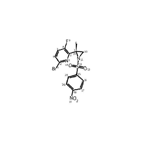 C[C@@]1(c2nc(Br)ccc2F)CN1S(=O)(=O)c1ccc([N+](=O)[O-])cc1